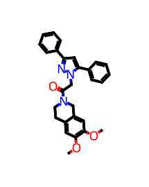 COc1cc2c(cc1OC)CN(C(=O)Cn1nc(-c3ccccc3)cc1-c1ccccc1)CC2